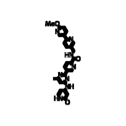 COc1ccc(-c2ccc(CNC(=O)c3ccc(-c4nc(C)cc(Nc5cc[nH]c(=O)c5)n4)cn3)cn2)cn1